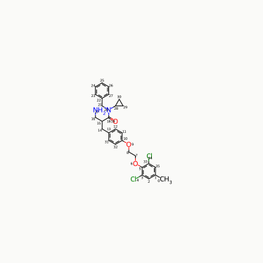 Cc1cc(Cl)c(OCCOc2ccc(CC(CN)C(=O)N(Cc3ccccc3)C3CC3)cc2)c(Cl)c1